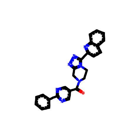 O=C(c1cnc(-c2ccccc2)nc1)N1CCn2c(nnc2-c2ccc3ccccc3n2)C1